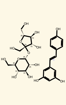 OC[C@H]1O[C@@](CO)(O[C@H]2O[C@H](CO)[C@@H](O)[C@H](O)[C@H]2O)[C@@H](O)[C@@H]1O.Oc1ccc(/C=C/c2cc(O)cc(O)c2)cc1